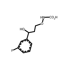 O=C(O)NOCCC(O)c1cccc(F)c1